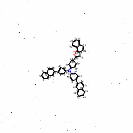 c1ccc2cc(-c3ccc(N(c4ccc(-c5ccc6ccccc6c5)cc4)c4ccc(-c5cc6ccc7ccccc7c6o5)cc4)cc3)ccc2c1